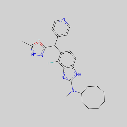 Cc1nnc(C(c2ccncc2)c2ccc3[nH]c(N(C)C4CCCCCCC4)nc3c2F)o1